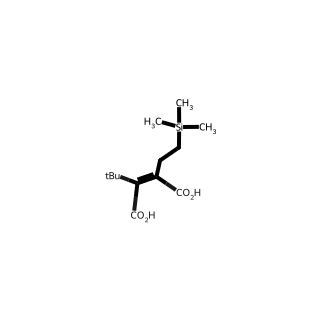 CC(C)(C)C(C(=O)O)=C(CC[Si](C)(C)C)C(=O)O